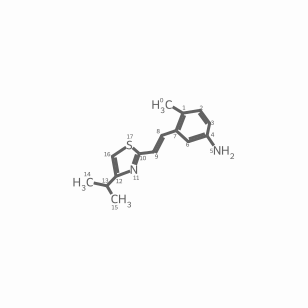 Cc1ccc(N)cc1C=Cc1nc(C(C)C)cs1